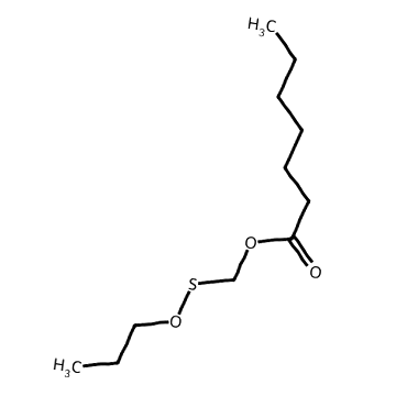 CCCCCCC(=O)OCSOCCC